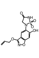 C=CCOc1noc2cc(O)c(N3CC(=O)NS3(=O)=O)cc12